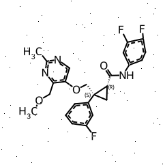 COCc1nc(C)ncc1OC[C@@]1(c2cccc(F)c2)C[C@H]1C(=O)Nc1ccc(F)c(F)c1